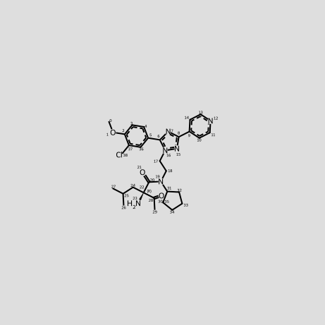 COc1ccc(-c2nc(-c3ccncc3)nn2CCN(C(=O)[C@@](N)(CC(C)C)C(C)=O)C2CCCC2)cc1Cl